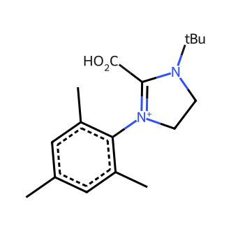 Cc1cc(C)c([N+]2=C(C(=O)O)N(C(C)(C)C)CC2)c(C)c1